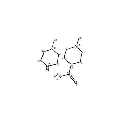 CN1CCN(C(N)=O)CC1.CN1CCNCC1